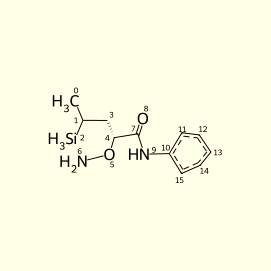 CC([SiH3])C[C@@H](ON)C(=O)Nc1ccccc1